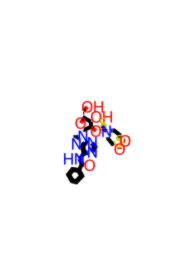 O=C(Nc1ncnc2c1ncn2[C@@H]1O[C@H](CO)C(O)C1OC(=S)N1CCS(=O)(=O)CC1)c1ccccc1